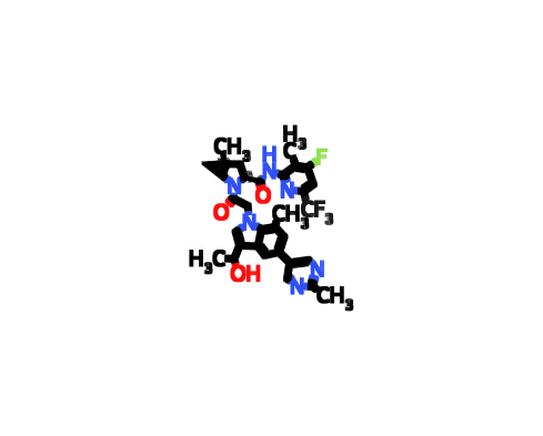 Cc1ncc(-c2cc(C)c3c(c2)c(C(C)O)cn3CC(=O)N2C3C[C@]3(C)C[C@H]2C(=O)Nc2nc(C(F)(F)F)cc(F)c2C)cn1